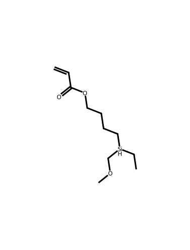 C=CC(=O)OCCCC[SiH](CC)COC